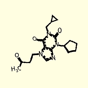 CC(=O)CCn1cnc2c1c(=O)n(CC1CC1)c(=O)n2C1CCCC1